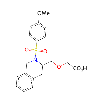 COc1ccc(S(=O)(=O)N2Cc3ccccc3CC2COCC(=O)O)cc1